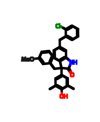 COc1cccc(CC2(c3cc(C)c(O)c(C)c3)C(=O)Nc3cc(Cc4ccccc4Cl)ccc32)c1